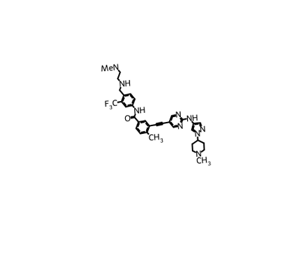 CNCCNCc1ccc(NC(=O)c2ccc(C)c(C#Cc3cnc(Nc4cnn(C5CCN(C)CC5)c4)nc3)c2)cc1C(F)(F)F